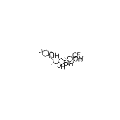 C[C@H](CCC1(O)CCC(C)(C)CC1)[C@H]1CC[C@H]2[C@@H]3CC[C@H]4C[C@](O)(C(F)(F)F)CC[C@]4(C)C3CC[C@]12C